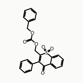 O=C(OCC1=C(c2ccccc2)C(=O)c2ccccc2S1(=O)=O)OCc1ccccc1